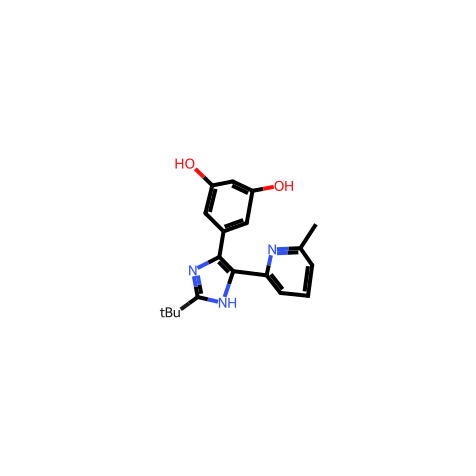 Cc1cccc(-c2[nH]c(C(C)(C)C)nc2-c2cc(O)cc(O)c2)n1